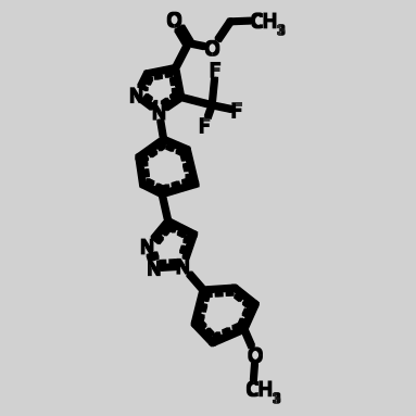 CCOC(=O)c1cnn(-c2ccc(-c3cn(-c4ccc(OC)cc4)nn3)cc2)c1C(F)(F)F